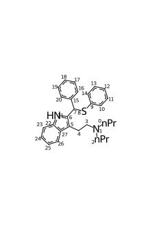 CCCN(CCC)CCc1c(C(Sc2ccccc2)c2ccccc2)[nH]c2ccccc12